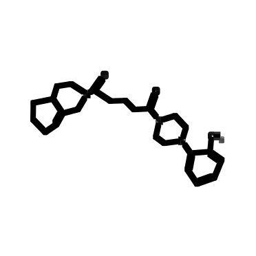 Cc1ccccc1N1CCN(C(=O)CCCC(=O)N2CCC3CCCC=C3C2)CC1